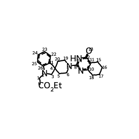 CCOC(=O)CN1CC2(CCN(c3nc4c(c(=O)[nH]3)CCCC4)CC2)c2ccccc21